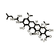 CC(C)CNC(=N)Nc1cc(N(C)C)c2c(c1O)C(=O)C1=C(N=O)[C@]3(O)C(=O)C(C(N)=O)=C(O)[C@@H](N(C)C)[C@@H]3C[C@@H]1C2